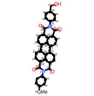 COc1ccc(N2C(=O)c3ccc4c5ccc6c7c(ccc(c8ccc(c3c48)C2=O)c75)C(=O)N(c2ccc(CO)cc2)C6=O)cc1